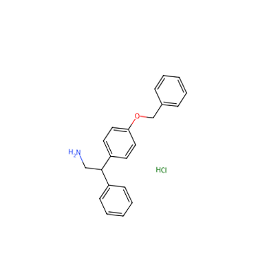 Cl.NCC(c1ccccc1)c1ccc(OCc2ccccc2)cc1